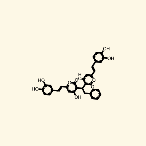 O=c1oc(C=Cc2ccc(O)c(O)c2)cc(O)c1C(Cc1ccccc1)c1c(O)cc(C=Cc2ccc(O)c(O)c2)oc1=O